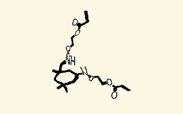 C=CC(=O)OCCONCC1(C)CC(NOCCOC(=O)C=C)CC(C)(C)C1